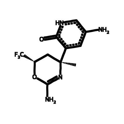 C[C@@]1(c2cc(N)c[nH]c2=O)C[C@@H](C(F)(F)F)OC(N)=N1